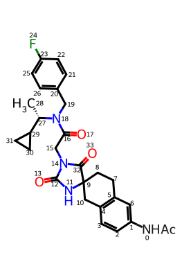 CC(=O)Nc1ccc2c(c1)CCC1(C2)NC(=O)N(CC(=O)N(Cc2ccc(F)cc2)[C@@H](C)C2CC2)C1=O